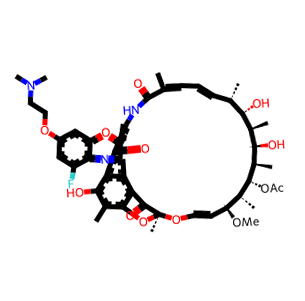 CO[C@H]1/C=C/O[C@@]2(C)Oc3c(C)c(O)c4c(=O)c(c5oc6cc(OCCN(C)C)cc(F)c6nc-5c4c3C2=O)NC(=O)/C(C)=C\C=C\[C@H](C)[C@H](O)[C@@H](C)[C@@H](O)[C@@H](C)[C@H](OC(C)=O)[C@@H]1C